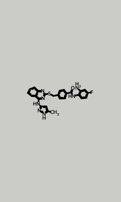 Cc1cc(Nc2nc(SCc3ccc(C(=O)Nc4ccc(F)cc4N)cc3)nc3ccccc23)n[nH]1